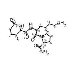 CC1CCC(=O)NC1C(=O)N[C@@H](CCCCN)C(=O)N1CCC[C@H]1C(N)=O